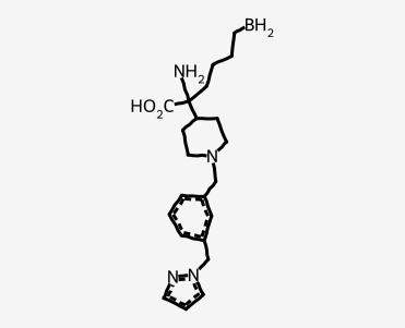 BCCCCC(N)(C(=O)O)C1CCN(Cc2cccc(Cn3cccn3)c2)CC1